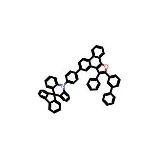 c1ccc(-c2cccc(-c3oc4c5ccccc5c5ccc(-c6ccc(N7c8ccccc8C8(c9ccccc9-c9ccccc98)c8ccccc87)cc6)cc5c4c3-c3ccccc3)c2)cc1